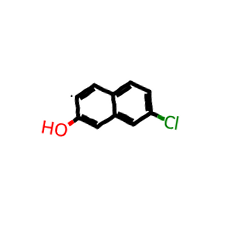 Oc1[c]cc2ccc(Cl)cc2c1